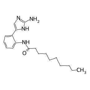 CCCCCCCCCC(=O)Nc1ccccc1-c1cnc(N)[nH]1